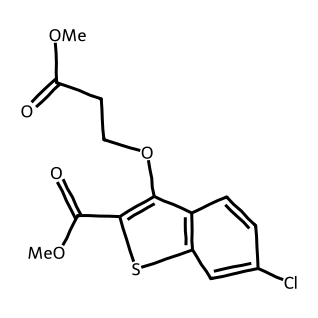 COC(=O)CCOc1c(C(=O)OC)sc2cc(Cl)ccc12